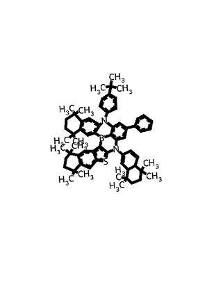 CC(C)(C)c1ccc(N2c3cc4c(cc3B3c5c(cc(-c6ccccc6)cc52)N(C2=CC5C(C=C2)C(C)(C)CCC5(C)C)c2sc5cc6c(cc5c23)C(C)(C)CCC6(C)C)C(C)(C)CCC4(C)C)cc1